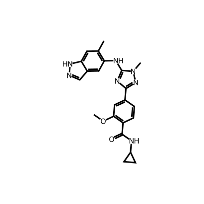 COc1cc(-c2nc(Nc3cc4cn[nH]c4cc3C)n(C)n2)ccc1C(=O)NC1CC1